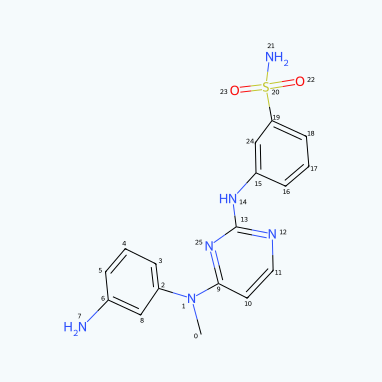 CN(c1cccc(N)c1)c1ccnc(Nc2cccc(S(N)(=O)=O)c2)n1